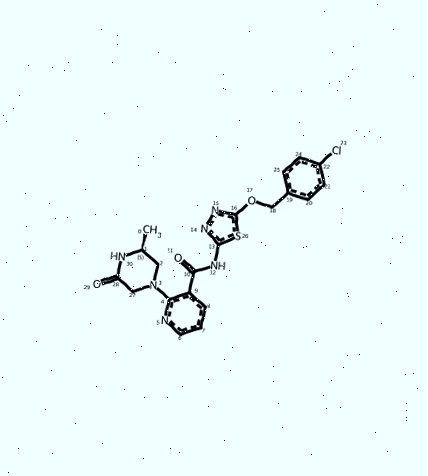 C[C@H]1CN(c2ncccc2C(=O)Nc2nnc(OCc3ccc(Cl)cc3)s2)CC(=O)N1